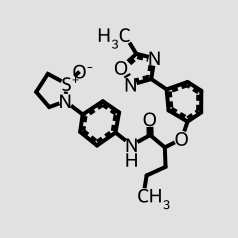 CCCC(Oc1cccc(-c2noc(C)n2)c1)C(=O)Nc1ccc(N2CCC[S+]2[O-])cc1